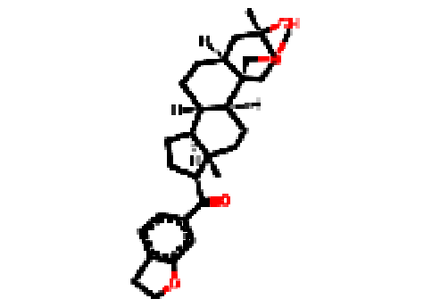 COC[C@]12CC[C@@](C)(O)C[C@@H]1CC[C@H]1[C@@H]3CC[C@H](C(=O)c4ccc5c(c4)OCC5)[C@@]3(C)CC[C@@H]12